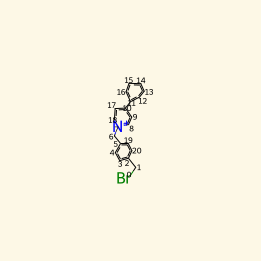 BrCc1ccc(C[n+]2ccc(-c3ccccc3)cc2)cc1